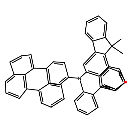 CC1(C)c2ccccc2-c2cc(N(c3ccc(-c4cccc5cccc(-c6ccccc6)c45)cc3)c3ccccc3-c3ccccc3)c3ccccc3c21